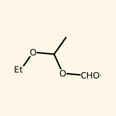 [CH2]COC(C)O[C]=O